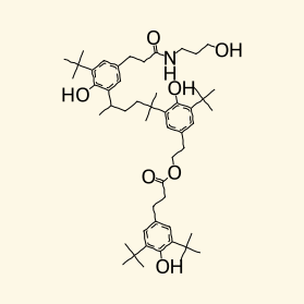 CC(CCC(C)(C)c1cc(CCOC(=O)CCc2cc(C(C)(C)C)c(O)c(C(C)(C)C)c2)cc(C(C)(C)C)c1O)c1cc(CCC(=O)NCCCO)cc(C(C)(C)C)c1O